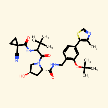 Cc1ncsc1-c1ccc(CNC(=O)[C@@H]2C[C@@H](O)CN2C(=O)C(NC(=O)C2(C#N)CC2)C(C)(C)C)c(OC(C)(C)C)c1